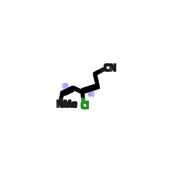 CN/C=C\C(Cl)=C/CC#N